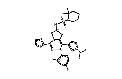 CC1(C)CCCCN1S(=O)(=O)N[C@H]1CC2=C(c3ccn(C(F)F)n3)[C@H](c3ccc(F)cc3Cl)N=C(c3nccs3)N2C1